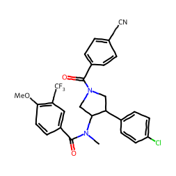 COc1ccc(C(=O)N(C)C2CN(C(=O)c3ccc(C#N)cc3)CC2c2ccc(Cl)cc2)cc1C(F)(F)F